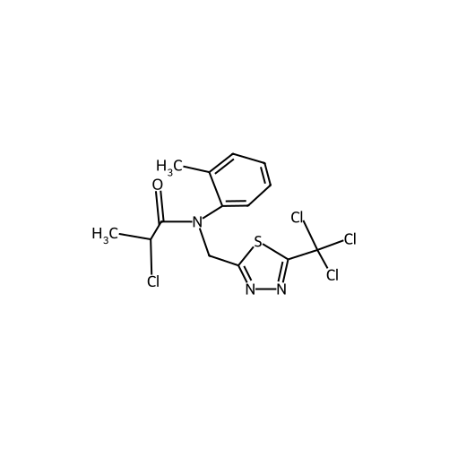 Cc1ccccc1N(Cc1nnc(C(Cl)(Cl)Cl)s1)C(=O)C(C)Cl